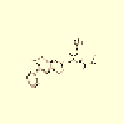 C=C(C)C(=O)OCC(C)(COc1ccc2cc(-c3ccccc3)c(=O)oc2c1)CC(F)(F)F